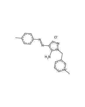 Cc1ccc(/N=N/c2cnn(Cc3ccc[n+](C)c3)c2N)cc1.[Cl-]